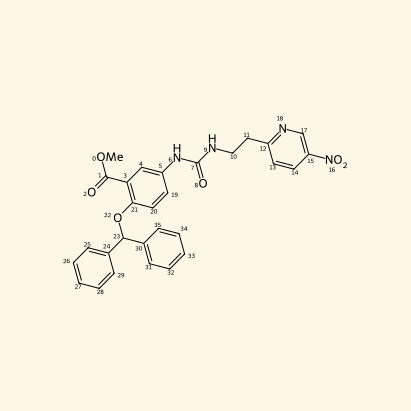 COC(=O)c1cc(NC(=O)NCCc2ccc([N+](=O)[O-])cn2)ccc1OC(c1ccccc1)c1ccccc1